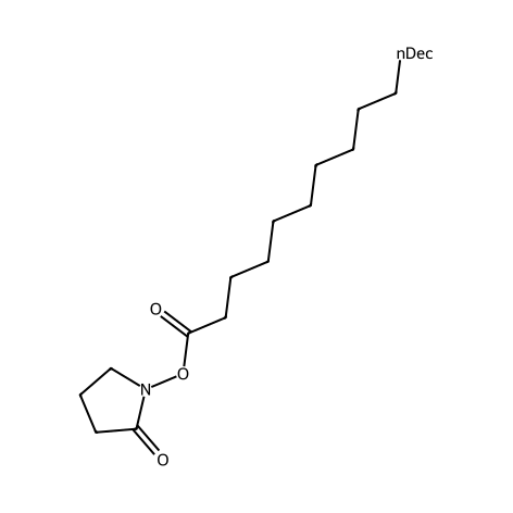 CCCCCCCCCCCCCCCCCCCC(=O)ON1CCCC1=O